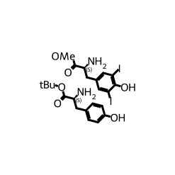 CC(C)(C)OC(=O)[C@@H](N)Cc1ccc(O)cc1.COC(=O)[C@@H](N)Cc1cc(I)c(O)c(I)c1